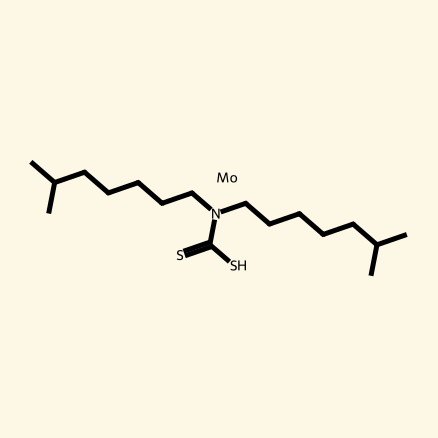 CC(C)CCCCCN(CCCCCC(C)C)C(=S)S.[Mo]